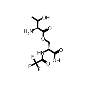 CC(O)[C@H](N)C(=O)OC[C@H](NC(=O)C(F)(F)F)C(=O)O